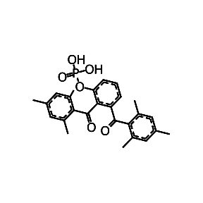 Cc1cc(C)c(C(=O)c2cccc(OP(=O)(O)O)c2C(=O)c2c(C)cc(C)cc2C)c(C)c1